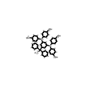 CC(C)(C)c1ccc(N(c2ccc(C(C)(C)C)cc2)c2cc(N(c3ccc(C(C)(C)C)cc3)c3ccc(C(C)(C)C)cc3)cc(C(C)(c3ccccc3)c3ccccc3)c2)cc1